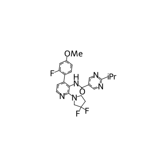 COc1ccc(-c2ccnc(N3CCC(F)(F)C3)c2NC(=O)c2cnc(C(C)C)nc2)c(F)c1